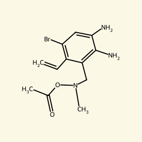 C=Cc1c(Br)cc(N)c(N)c1CN(C)OC(C)=O